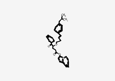 CC(C)Cc1ccc(CCCCOC(CCC(=O)Oc2ccc3ccccn23)C(=O)c2ccccc2)cc1